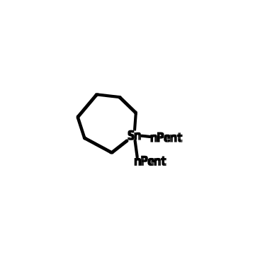 CCCC[CH2][Sn]1([CH2]CCCC)[CH2]CCCC[CH2]1